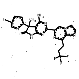 CC1(c2ccc(F)cn2)C(=O)Nc2nc(-c3cn4ccnc4c(CCC(F)(F)F)n3)nc(N)c21